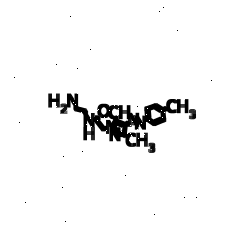 Cc1ccc(/N=N/c2c(C)nn(CC(=O)NCCN)c2C)cc1